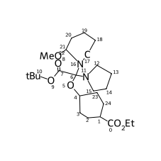 CCOC(=O)C1CCC(OC(C(=O)OC(C)(C)C)(N2CCCC2)N2CCCCC2OC)CC1